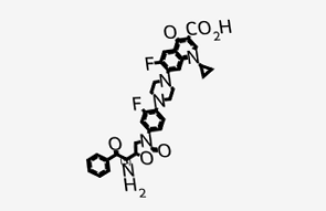 N[C@H](C(=O)c1ccccc1)C1CN(c2ccc(N3CCN(c4cc5c(cc4F)c(=O)c(C(=O)O)cn5C4CC4)CC3)c(F)c2)C(=O)O1